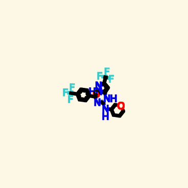 O=C(/N=C(\Nc1cc(C(F)(F)F)n[nH]1)NC1CCCOC1)c1ccc(C(F)(F)F)cc1